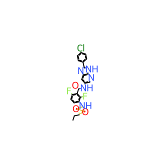 CCCS(=O)(=O)Nc1ccc(F)c(C(=O)Nc2cnc3[nH]c(-c4ccc(Cl)cc4)nc3c2)c1F